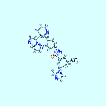 Cc1ccc(NC(=O)c2cc(-n3ccnc3C)cc(C(F)(F)F)c2)cc1-n1ccc2ncc(-c3cccnc3)n21